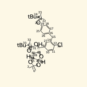 CC1(C)O[C@@H]2O[C@@H](C(O)c3ccc(Cl)c(Cc4ccc(O[Si](C)(C)C(C)(C)C)cc4)c3)[C@@H](O[Si](C)(C)C(C)(C)C)[C@@H]2O1